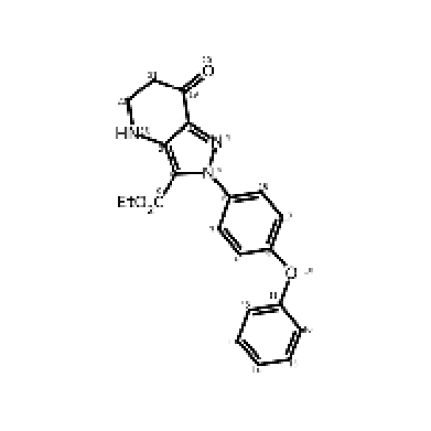 CCOC(=O)c1c2c(nn1-c1ccc(Oc3ccccc3)cc1)C(=O)CCN2